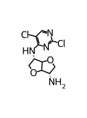 N[C@H]1COC2C1OC[C@@H]2Nc1nc(Cl)ncc1Cl